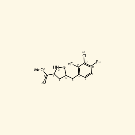 COC(=O)C1CC(Cc2ccc(F)c(Cl)c2F)CN1